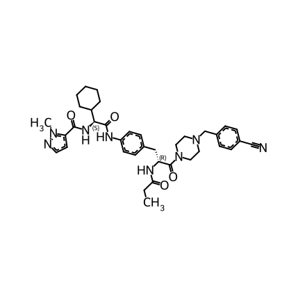 CCC(=O)N[C@H](Cc1ccc(NC(=O)[C@@H](NC(=O)c2ccnn2C)C2CCCCC2)cc1)C(=O)N1CCN(Cc2ccc(C#N)cc2)CC1